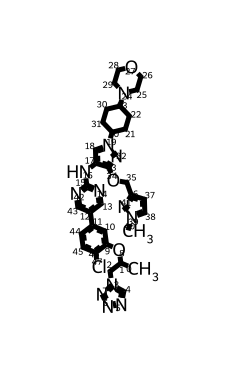 CC(Cn1cnnn1)Oc1cc(-c2cnc(Nc3cn(C4CCC(N5CCOCC5)CC4)nc3OCc3ccn(C)n3)nc2)ccc1Cl